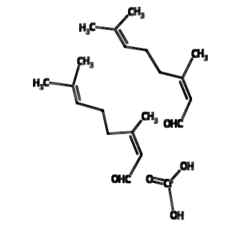 CC(C)=CCC/C(C)=C\C=O.CC(C)=CCC/C(C)=C\C=O.[O]=[Cr]([OH])[OH]